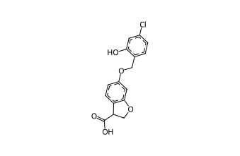 O=C(O)C1COc2cc(OCc3ccc(Cl)cc3O)ccc21